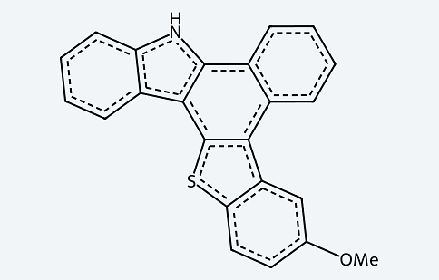 COc1ccc2sc3c(c2c1)c1ccccc1c1[nH]c2ccccc2c13